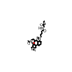 CCOC(=O)CNC(=O)CCCCn1nc(C2CCN(C(C)=O)CC2)c2c(-c3cc4c(cnn4C)cc3F)cccc21